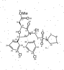 CCC(CS(=O)(=O)N1CCC[C@@H]1C)N1C(=O)[C@H](CC(=O)OC)O[C@H](c2cccc(Cl)c2)[C@H]1c1ccc(Cl)cc1